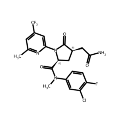 Cc1cc(C(F)(F)F)cc(N2C(=O)[C@@H](CC(N)=O)C[C@H]2C(=O)N(C)c2ccc(F)c(Cl)c2)n1